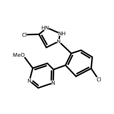 COc1cc(-c2cc(Cl)ccc2N2C=C(Cl)NN2)ncn1